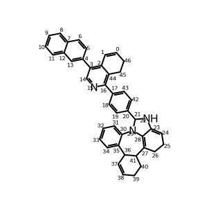 C1=Cc2c(-c3ccc4ccccc4c3)cnc(-c3ccc(C4NC5=CCCC6=C5N4c4ccccc4C4C=CCCC64)cc3)c2CC1